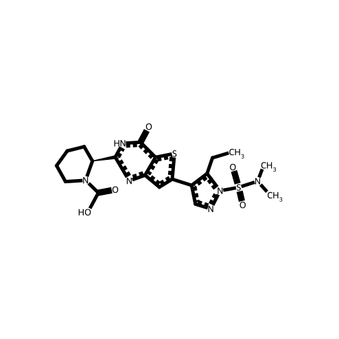 CCc1c(-c2cc3nc([C@@H]4CCCCN4C(=O)O)[nH]c(=O)c3s2)cnn1S(=O)(=O)N(C)C